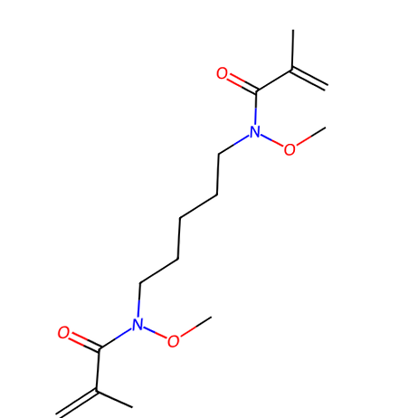 C=C(C)C(=O)N(CCCCCN(OC)C(=O)C(=C)C)OC